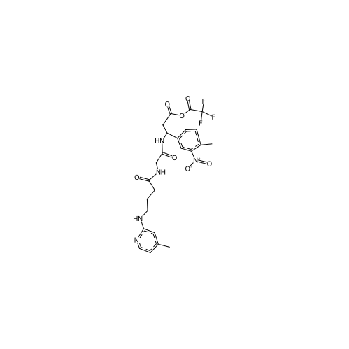 Cc1ccnc(NCCCC(=O)NCC(=O)NC(CC(=O)OC(=O)C(F)(F)F)c2ccc(C)c([N+](=O)[O-])c2)c1